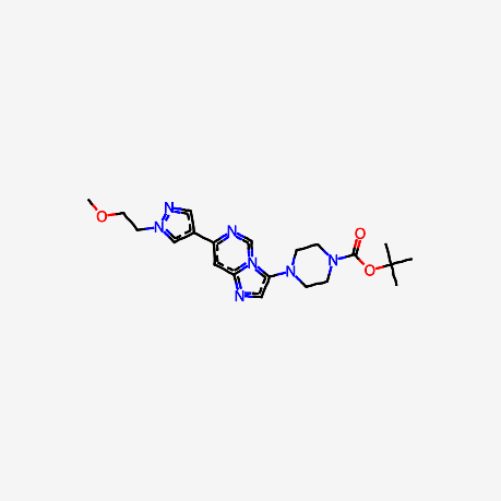 COCCn1cc(-c2cc3ncc(N4CCN(C(=O)OC(C)(C)C)CC4)n3cn2)cn1